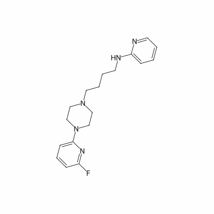 Fc1cccc(N2CCN(CCCCNc3ccccn3)CC2)n1